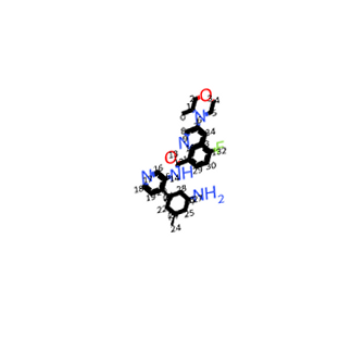 CC1COCCN1c1cnc2c(C(=O)Nc3cnccc3[C@@H]3C[C@H](C)C[C@H](N)C3)ccc(F)c2c1